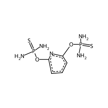 NP(N)(=S)Oc1cccc(OP(N)(N)=S)n1